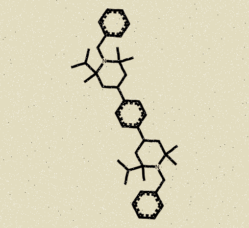 CC(C)C1(C)CC(c2ccc(C3CC(C)(C)N(Cc4ccccc4)C(C)(C(C)C)C3)cc2)CC(C)(C)N1Cc1ccccc1